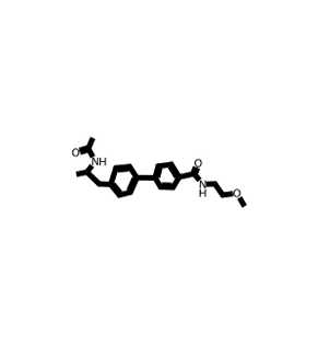 COCCNC(=O)c1ccc(-c2ccc(CC(C)NC(C)=O)cc2)cc1